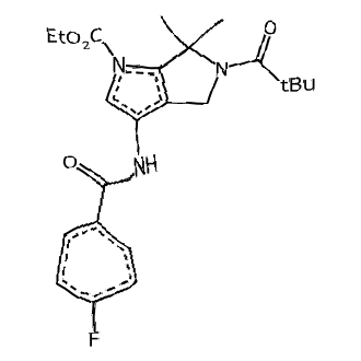 CCOC(=O)n1cc(NC(=O)c2ccc(F)cc2)c2c1C(C)(C)N(C(=O)C(C)(C)C)C2